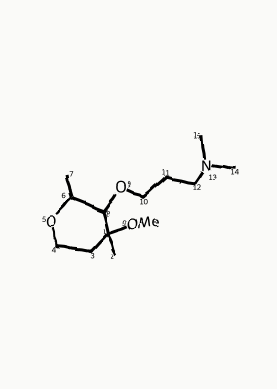 COC1(C)CCOC(C)C1OCCCN(C)C